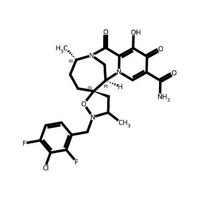 CC1C[C@]2(CC[C@H](C)N3C[C@H]2n2cc(C(N)=O)c(=O)c(O)c2C3=O)ON1Cc1ccc(F)c(Cl)c1F